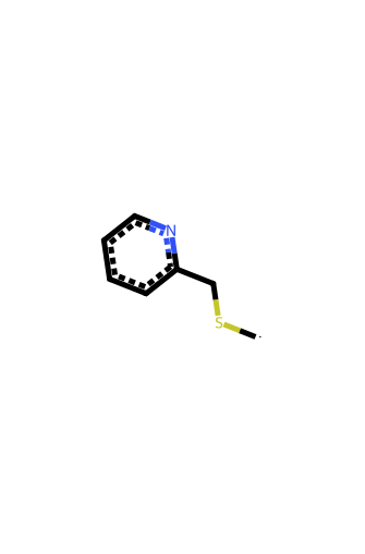 [CH2]SCc1ccccn1